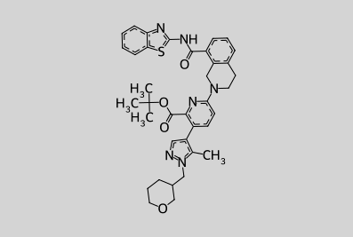 Cc1c(-c2ccc(N3CCc4cccc(C(=O)Nc5nc6ccccc6s5)c4C3)nc2C(=O)OC(C)(C)C)cnn1CC1CCCOC1